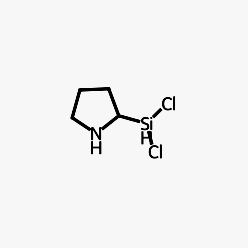 Cl[SiH](Cl)C1CCCN1